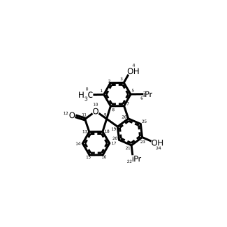 Cc1cc(O)c(C(C)C)c2c1C1(OC(=O)c3ccccc31)c1cc(C(C)C)c(O)cc1-2